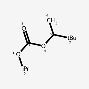 CC(C)OC(=O)OC(C)C(C)(C)C